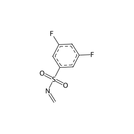 C=NS(=O)(=O)c1cc(F)cc(F)c1